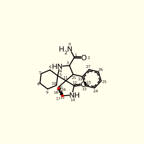 NC(=O)C1NC2(CCCCC2)C2(C(=O)Nc3ccccc32)C1c1ccccc1